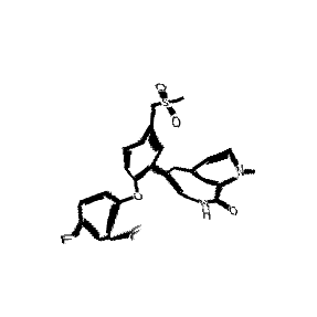 Cn1ccc2c(-c3cc(CS(C)(=O)=O)ccc3Oc3ccc(F)cc3F)c[nH]c(=O)c21